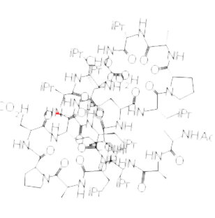 CC(=O)N[C@@H](C)C(=O)N[C@@H](C)C(=O)N[C@H](C(=O)N[C@@H](C)C(=O)N[C@@H](CC(C)C)C(=O)N[C@@H](CC(C)C)C(=O)N1CCC[C@H]1C(=O)N[C@@H](C)C(=O)N[C@H](C(=O)N[C@@H](CC(C)C)C(=O)N[C@@H](CC(C)C)C(=O)N[C@@H](C)C(=O)N[C@@H](CC(C)C)C(=O)N[C@@H](CC(C)C)C(=O)N[C@@H](C)C(=O)N1CCC[C@H]1C(=O)N[C@@H](CC(=O)O)C(=O)N[C@@H](CCC(=O)O)C(=O)N[C@H](C(=O)N[C@H](C=O)CC(=O)O)C(C)C)C(C)C)C(C)C